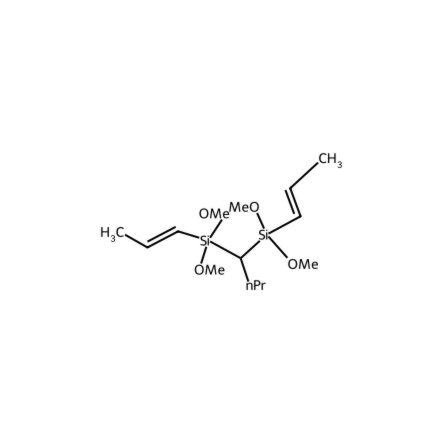 CC=C[Si](OC)(OC)C(CCC)[Si](C=CC)(OC)OC